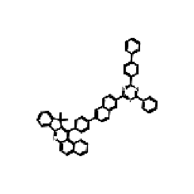 CC1(C)c2ccccc2-c2nc3ccc4ccccc4c3c(-c3ccc(-c4ccc5cc(-c6nc(-c7ccccc7)nc(-c7ccc(-c8ccccc8)cc7)n6)ccc5c4)cc3)c21